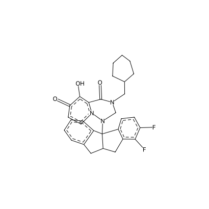 O=C1c2c(O)c(=O)ccn2N(C23c4ccccc4CC2Cc2c3ccc(F)c2F)CN1CC1CCCCC1